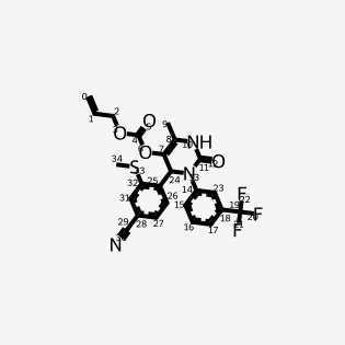 C=CCOC(=O)OC1=C(C)NC(=O)N(c2cccc(C(F)(F)F)c2)C1c1ccc(C#N)cc1SC